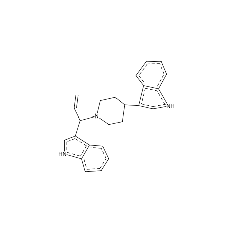 C=CC(c1c[nH]c2ccccc12)N1CCC(c2c[nH]c3ccccc23)CC1